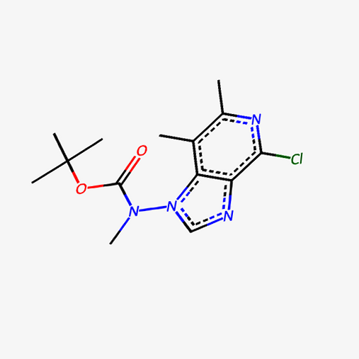 Cc1nc(Cl)c2ncn(N(C)C(=O)OC(C)(C)C)c2c1C